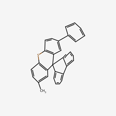 Cc1ccc2c(c1)C1(c3cc(-c4ccccc4)ccc3S2)c2ccccc2-c2ccccc21